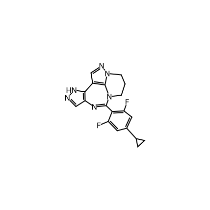 Fc1cc(C2CC2)cc(F)c1C1=Nc2cn[nH]c2-c2cnn3c2N1CCC3